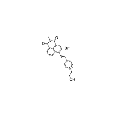 CN1C(=O)c2cccc3c(/N=C/c4cc[n+](CCO)cc4)ccc(c23)C1=O.[Br-]